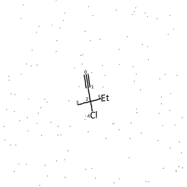 C#CC(C)(Cl)CC